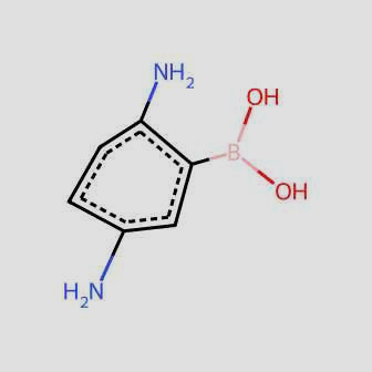 Nc1ccc(N)c(B(O)O)c1